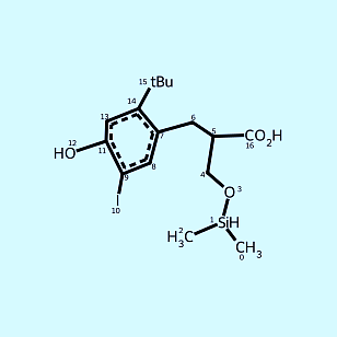 C[SiH](C)OCC(Cc1cc(I)c(O)cc1C(C)(C)C)C(=O)O